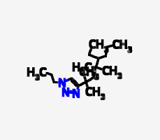 CCCC(CC)C(C)(C)CC(C)(C)c1cn(CCC)nn1